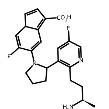 C[C@@H](N)CCc1ncc(F)cc1C1CCCN1C1=CC2=C(C(=O)O)C=CC2C=C1F